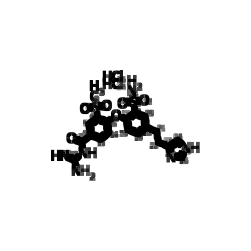 CS(=O)(=O)c1cc(C(=O)NC(=N)N)ccc1Oc1ccc(CCc2c[nH]cn2)cc1S(N)(=O)=O.Cl.Cl